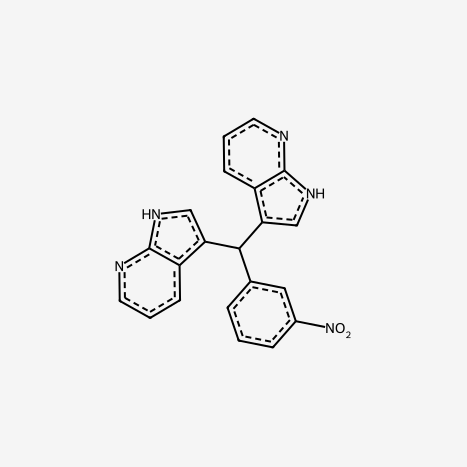 O=[N+]([O-])c1cccc(C(c2c[nH]c3ncccc23)c2c[nH]c3ncccc23)c1